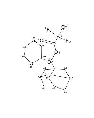 CC(F)(F)C(=O)OCC12CC3CC(C1)C(OC1CSCCO1)C(C3)C2